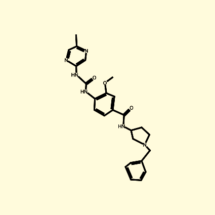 COc1cc(C(=O)NC2CCN(Cc3ccccc3)C2)ccc1NC(=O)Nc1cnc(C)cn1